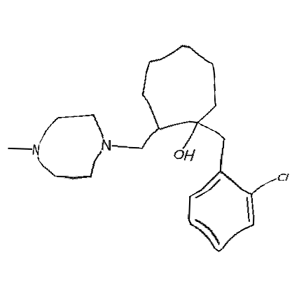 CN1CCN(CC2CCCCCC2(O)Cc2ccccc2Cl)CC1